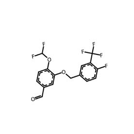 O=Cc1ccc(OC(F)F)c(OCc2ccc(F)c(C(F)(F)F)c2)c1